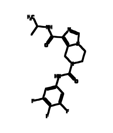 CC(NC(=O)c1ncn2c1CN(C(=O)Nc1cc(F)c(F)c(F)c1)CC2)C(F)(F)F